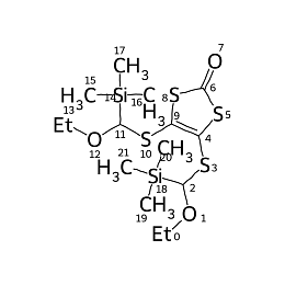 CCOC(Sc1sc(=O)sc1SC(OCC)[Si](C)(C)C)[Si](C)(C)C